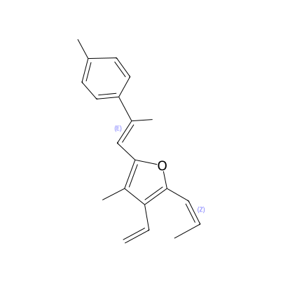 C=Cc1c(/C=C\C)oc(/C=C(\C)c2ccc(C)cc2)c1C